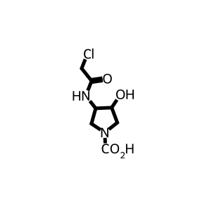 O=C(CCl)NC1CN(C(=O)O)CC1O